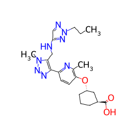 CCCn1ncc(NCc2c(-c3ccc(O[C@H]4CCC[C@H](C(=O)O)C4)c(C)n3)nnn2C)n1